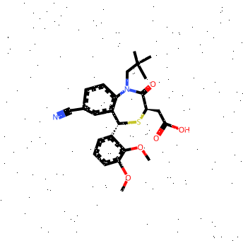 COc1cccc([C@H]2S[C@H](CC(=O)O)C(=O)N(CC(C)(C)C)c3ccc(C#N)cc32)c1OC